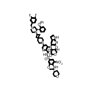 CC(C)Oc1ccccc1[C@@H]1CN(Cc2ccc(F)c(F)c2)CCN1C1CC2(CCN(c3cnc(C(=O)NS(=O)(=O)c4cc5c(c([N+](=O)[O-])c4)N[C@H](C4CCOCC4)CO5)c(N4c5cc6cc[nH]c6nc5O[C@H]5COCC[C@@H]54)c3)CC2)C1